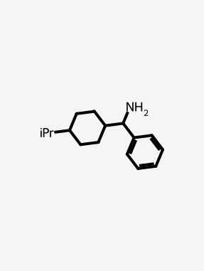 CC(C)C1CCC(C(N)c2ccccc2)CC1